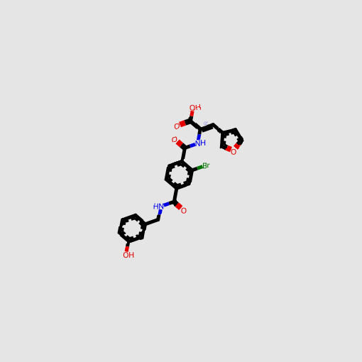 O=C(O)/C(=C/c1ccoc1)NC(=O)c1ccc(C(=O)NCc2cccc(O)c2)cc1Br